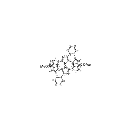 COc1ccc(-c2nc(-c3ccccc3)c(-c3ccccc3)n2-n2c(-c3ccc(OC)cc3)nc(-c3ccccc3)c2-c2ccccc2)cc1